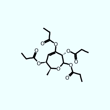 CCC(=O)OC1=C[C@H](OC(=O)CC)[C@H](C)OC(OC(=O)CC)[C@H]1OC(=O)CC